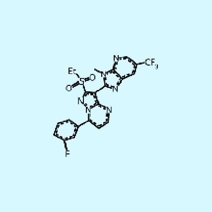 CCS(=O)(=O)c1nn2c(-c3cccc(F)c3)ccnc2c1-c1nc2cc(C(F)(F)F)cnc2n1C